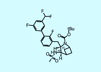 CC(C)(C)OC(=O)N1C2CC(C2)[C@H](NS(C)(=O)=O)[C@@H]1Cc1cccc(-c2cc(F)cc(C(F)F)c2)c1F